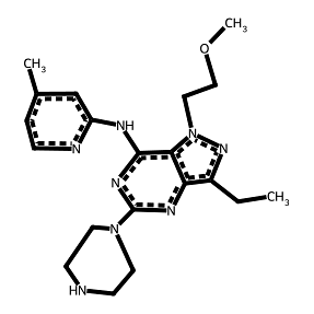 CCc1nn(CCOC)c2c(Nc3cc(C)ccn3)nc(N3CCNCC3)nc12